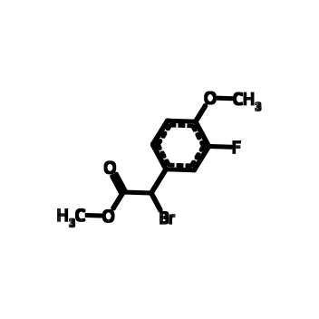 COC(=O)C(Br)c1ccc(OC)c(F)c1